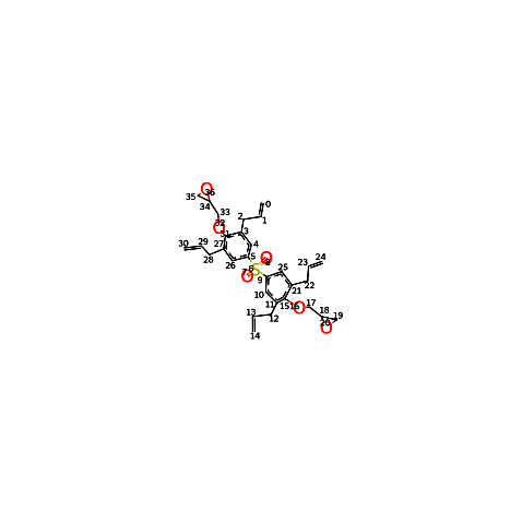 C=CCc1cc(S(=O)(=O)c2cc(CC=C)c(OCC3CO3)c(CC=C)c2)cc(CC=C)c1OCC1CO1